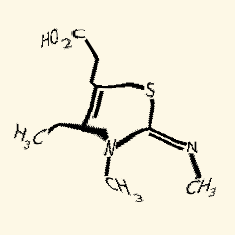 CN=c1sc(C(=O)O)c(C)n1C